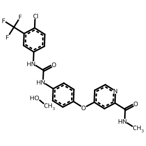 CNC(=O)c1cc(Oc2ccc(NC(=O)Nc3ccc(Cl)c(C(F)(F)F)c3)cc2)ccn1.CO